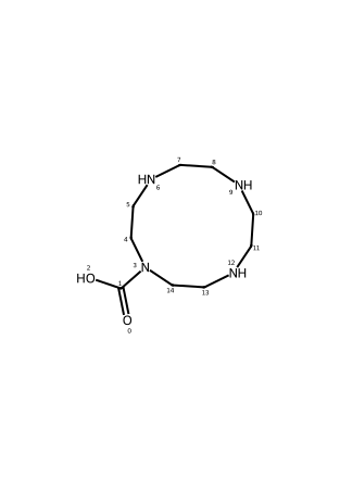 O=C(O)N1CCNCCNCCNCC1